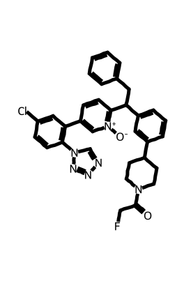 O=C(CF)N1CCC(c2cccc(C(Cc3ccccc3)c3ccc(-c4cc(Cl)ccc4-n4cnnn4)c[n+]3[O-])c2)CC1